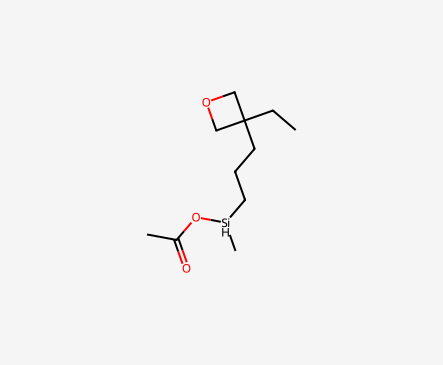 CCC1(CCC[SiH](C)OC(C)=O)COC1